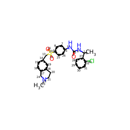 CC(NC(=O)Nc1ccc(S(=O)(=O)Cc2ccc3c(c2)CCN(C)C3)cc1)c1ccccc1Cl